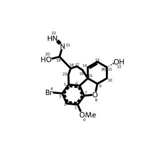 COc1cc(Br)c2c3c1OC1C[C@@H](O)C=CC31CCC(C(O)N=N)C2